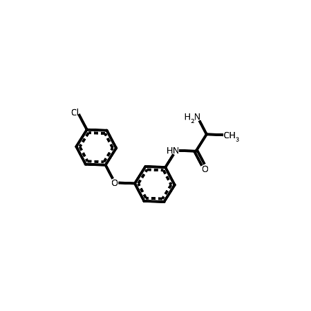 CC(N)C(=O)Nc1cccc(Oc2ccc(Cl)cc2)c1